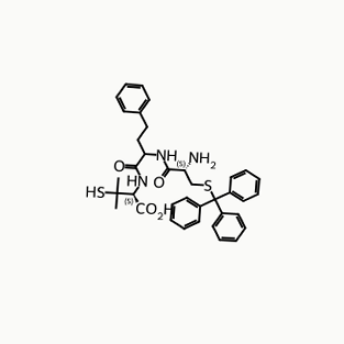 CC(C)(S)[C@@H](NC(=O)C(CCc1ccccc1)NC(=O)[C@H](N)CSC(c1ccccc1)(c1ccccc1)c1ccccc1)C(=O)O